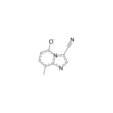 Cc1ccc(Cl)n2c(C#N)cnc12